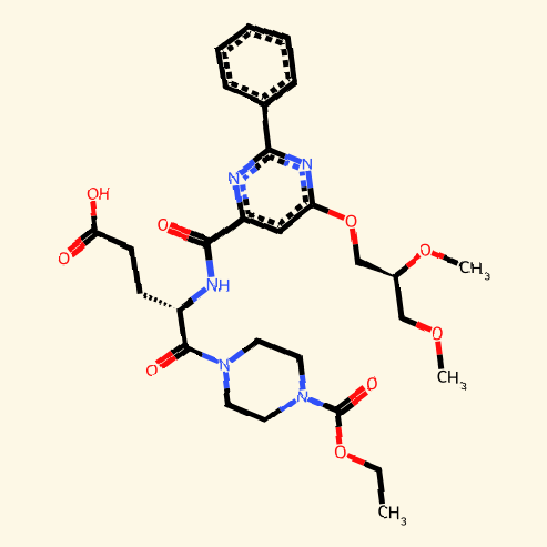 CCOC(=O)N1CCN(C(=O)[C@H](CCC(=O)O)NC(=O)c2cc(OC[C@H](COC)OC)nc(-c3ccccc3)n2)CC1